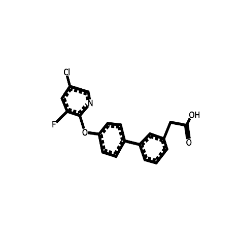 O=C(O)Cc1cccc(-c2ccc(Oc3ncc(Cl)cc3F)cc2)c1